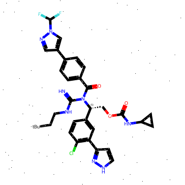 CC(C)(C)CCNC(=N)N(C(=O)c1ccc(-c2cnn(C(F)F)c2)cc1)[C@H](COC(=O)NC1CC1)c1ccc(Cl)c(-c2cc[nH]n2)c1